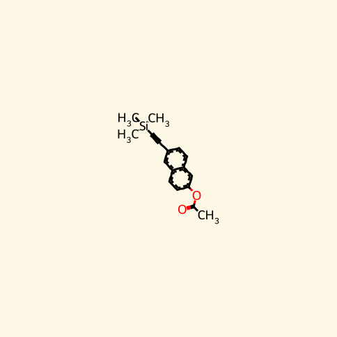 CC(=O)Oc1ccc2cc(C#C[Si](C)(C)C)ccc2c1